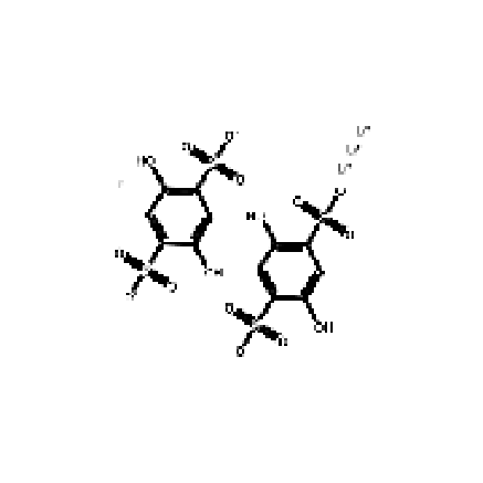 O=S(=O)([O-])c1cc(O)c(S(=O)(=O)[O-])cc1O.O=S(=O)([O-])c1cc(O)c(S(=O)(=O)[O-])cc1O.[Li+].[Li+].[Li+].[Li+]